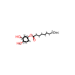 CCCCCCCCCCCCCCCCC(=O)Oc1ccc(O)c(O)c1